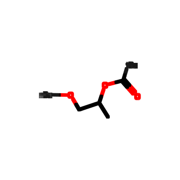 CCCCOCC(C)OC(=O)C(C)(C)C